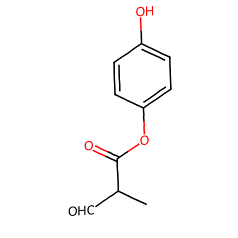 CC(C=O)C(=O)Oc1ccc(O)cc1